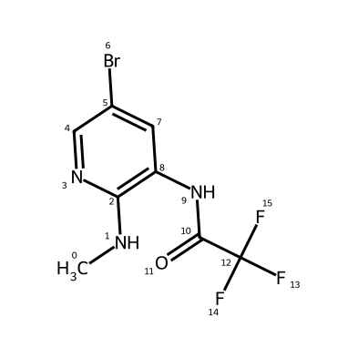 CNc1ncc(Br)cc1NC(=O)C(F)(F)F